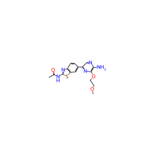 COCCOc1nc(-c2ccc3nc(NC(C)=O)sc3c2)cnc1N